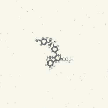 CN(c1ccc(-c2nc(C(=O)O)cc3c2[nH]c2ccc(F)cc23)cc1)S(=O)(=O)c1ccc(Br)cc1